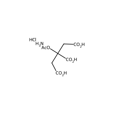 CC(=O)OC(CC(=O)O)(CC(=O)O)C(=O)O.Cl.N